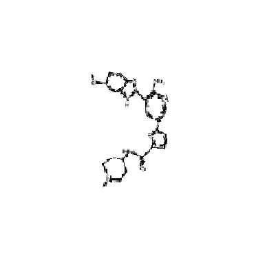 COc1ccc2nc(-c3cc(-c4ccc(C(=O)NC5CCN(C)CC5)s4)cnc3N)[nH]c2c1